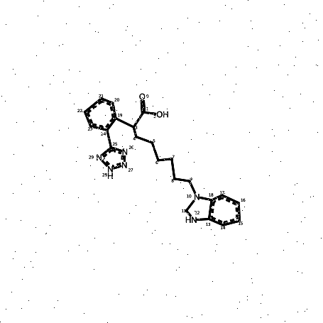 O=C(O)C(CCCCCCN1CNc2ccccc21)c1ccccc1-c1nn[nH]n1